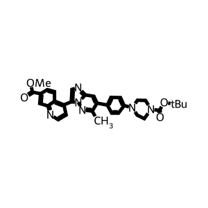 COC(=O)c1ccc2c(-c3cnc4cc(-c5ccc(N6CCN(C(=O)OC(C)(C)C)CC6)cc5)c(C)nn34)ccnc2c1